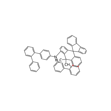 CC1(C)c2ccccc2C2(c3ccccc3-c3ccccc32)c2cccc(N(c3ccc(-c4ccccc4-c4ccccc4)cc3)c3cccc(-c4ccccc4)c3)c21